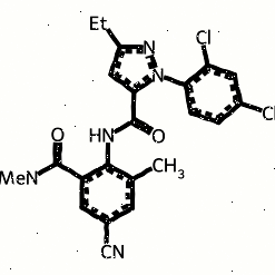 CCc1cc(C(=O)Nc2c(C)cc(C#N)cc2C(=O)NC)n(-c2ccc(Cl)cc2Cl)n1